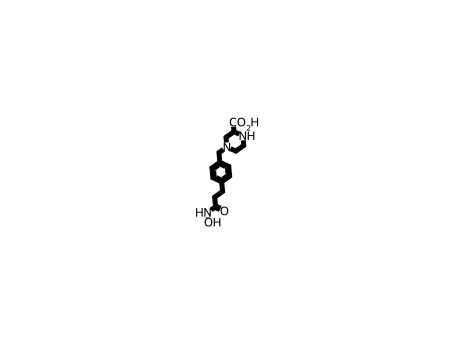 O=C(CCc1ccc(CN2CCNC(C(=O)O)C2)cc1)NO